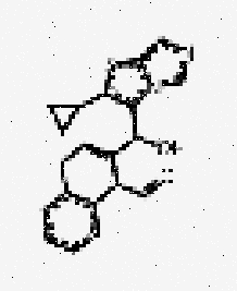 O=CC1C(C(O)c2c(C3CC3)sc3cncn23)=CCc2ccccc21